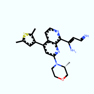 Cc1cc(-c2cc(N3CCOC[C@H]3C)nc3c(/C(N)=C/C=N)nccc23)c(C)s1